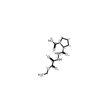 CCOC(=O)C(=O)NNC(=O)[C@@H]1CCCN1C(=O)O